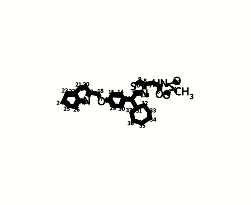 CS(=O)(=O)NC(=O)Cc1csc(C(c2ccc(OCc3ccc4ccccc4n3)cc2)C2CCCCCC2)n1